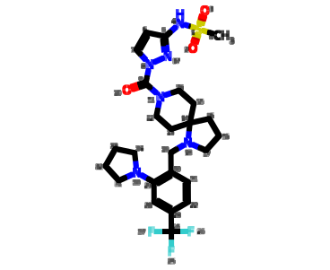 CS(=O)(=O)Nc1ccn(C(=O)N2CCC3(CCCN3Cc3ccc(C(F)(F)F)cc3N3CCCC3)CC2)n1